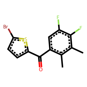 Cc1c(C(=O)c2ccc(Br)s2)cc(F)c(F)c1C